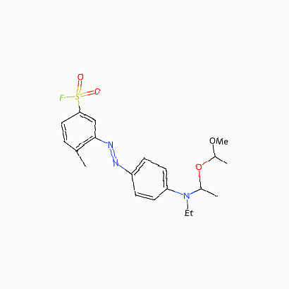 CCN(c1ccc(N=Nc2cc(S(=O)(=O)F)ccc2C)cc1)C(C)OC(C)OC